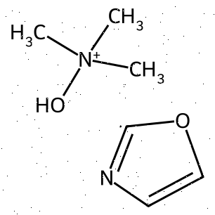 C[N+](C)(C)O.[c]1ncco1